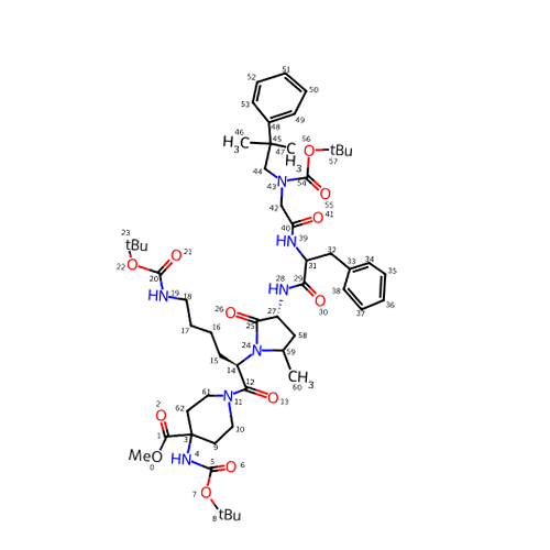 COC(=O)C1(NC(=O)OC(C)(C)C)CCN(C(=O)[C@@H](CCCCNC(=O)OC(C)(C)C)N2C(=O)[C@H](NC(=O)C(Cc3ccccc3)NC(=O)CN(CC(C)(C)c3ccccc3)C(=O)OC(C)(C)C)CC2C)CC1